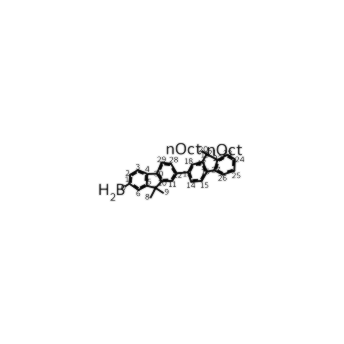 Bc1ccc2c(c1)C(C)(C)c1cc(-c3ccc4c(c3)C(CCCCCCCC)(CCCCCCCC)c3ccccc3-4)ccc1-2